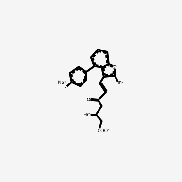 CC(C)c1oc2cccc(-c3ccc(F)cc3)c2c1C=CC(=O)CC(O)CC(=O)[O-].[Na+]